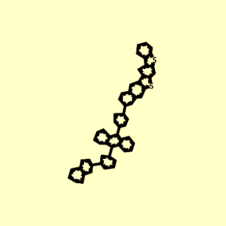 c1cc(-c2ccc3ccccc3c2)cc(-c2c3ccccc3c(-c3ccc(-c4ccc5cc6c(cc5c4)sc4cc5sc7ccccc7c5cc46)cc3)c3ccccc23)c1